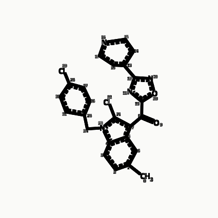 Cc1ccc2c(c1)c(C(=O)c1nc(-c3ccncc3)no1)c(Cl)n2Cc1ccc(Cl)cc1